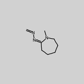 C=N/N=C1/CCCCCN1C